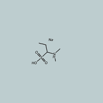 CCC([SiH](C)C)S(=O)(=O)O.[Na]